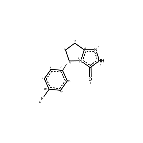 O=c1[nH]nc2n1[C@H](c1ccc(F)cc1)CC2